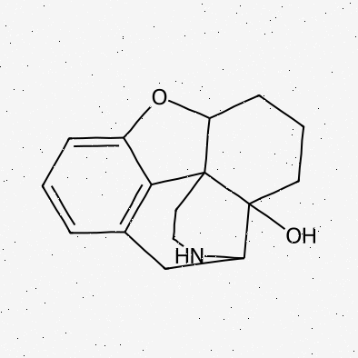 OC12CCCC3Oc4cccc5c4C31CCNC2C5